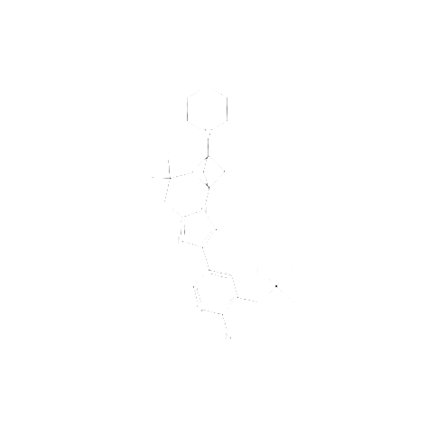 CC1(C)Cc2nc(-c3cnc(N)c(OC(F)(F)F)c3)cn2C23CC(N4CCOCC4)(C2)C13